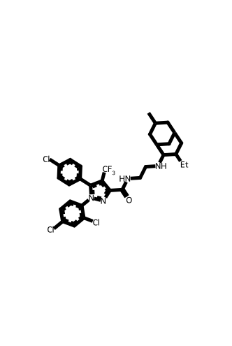 CCC1CC2CC(C)CC(C2)C1NCCNC(=O)c1nn(-c2ccc(Cl)cc2Cl)c(-c2ccc(Cl)cc2)c1C(F)(F)F